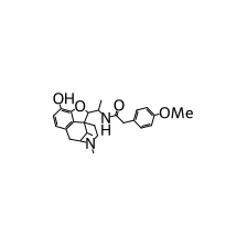 COc1ccc(CC(=O)NC(C)C2Oc3c(O)ccc4c3C23CCN(C)C(C4)C3C)cc1